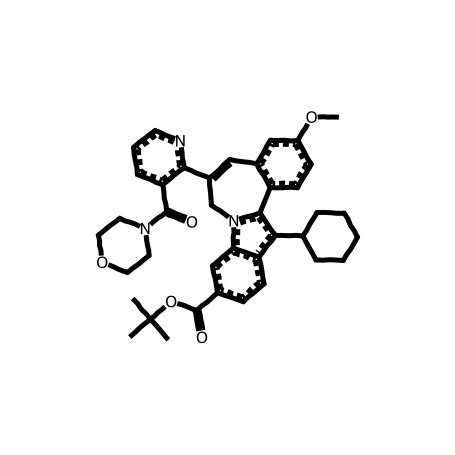 COc1ccc2c(c1)C=C(c1ncccc1C(=O)N1CCOCC1)Cn1c-2c(C2CCCCC2)c2ccc(C(=O)OC(C)(C)C)cc21